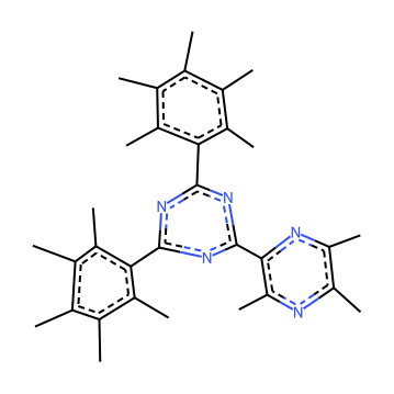 Cc1nc(C)c(-c2nc(-c3c(C)c(C)c(C)c(C)c3C)nc(-c3c(C)c(C)c(C)c(C)c3C)n2)nc1C